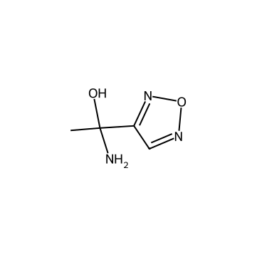 CC(N)(O)c1cnon1